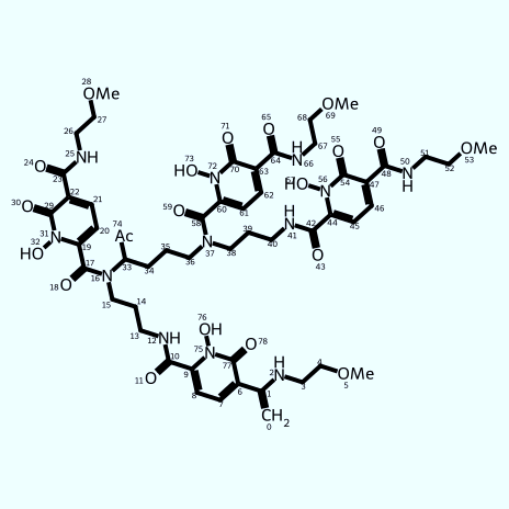 C=C(NCCOC)c1ccc(C(=O)NCCCN(C(=O)c2ccc(C(=O)NCCOC)c(=O)n2O)C(CCCN(CCCNC(=O)c2ccc(C(=O)NCCOC)c(=O)n2O)C(=O)c2ccc(C(=O)NCCOC)c(=O)n2O)C(C)=O)n(O)c1=O